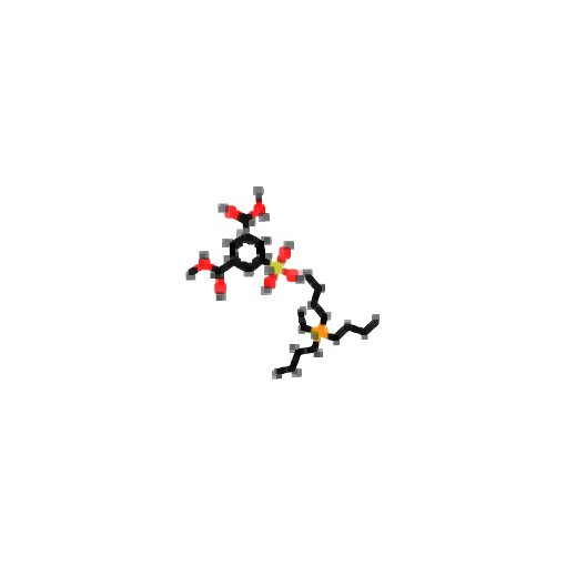 CCCC[P+](CC)(CCCC)CCCC.COC(=O)c1cc(C(=O)OC)cc(S(=O)(=O)[O-])c1